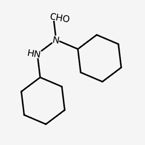 O=CN(NC1CCCCC1)C1CCCCC1